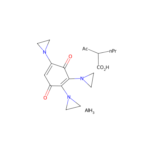 CCCC(C(C)=O)C(=O)O.O=C1C=C(N2CC2)C(=O)C(N2CC2)=C1N1CC1.[AlH3]